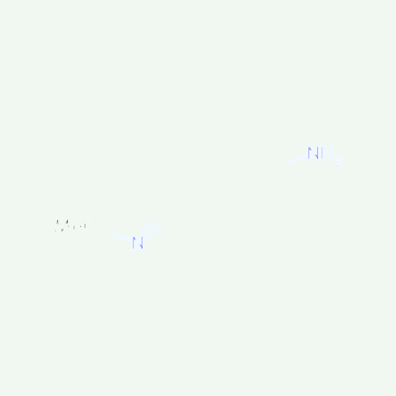 CON=C1CCC(N)CC1